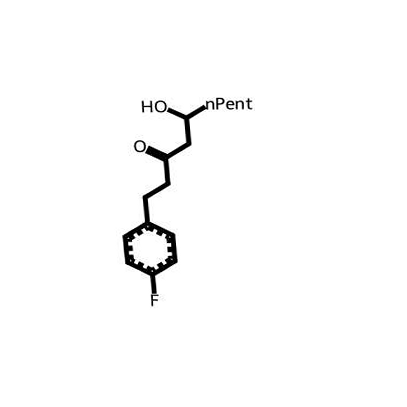 CCCCCC(O)CC(=O)CCc1ccc(F)cc1